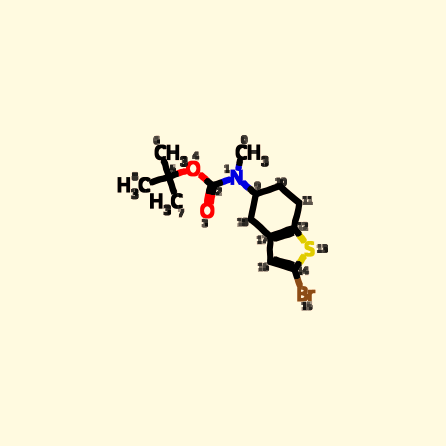 CN(C(=O)OC(C)(C)C)C1CCc2sc(Br)cc2C1